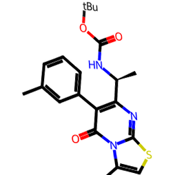 Cc1cccc(-c2c([C@H](C)NC(=O)OC(C)(C)C)nc3scc(C)n3c2=O)c1